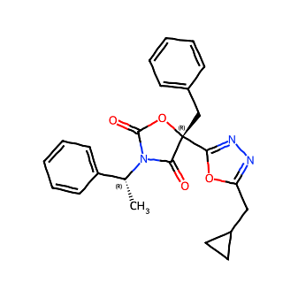 C[C@H](c1ccccc1)N1C(=O)O[C@](Cc2ccccc2)(c2nnc(CC3CC3)o2)C1=O